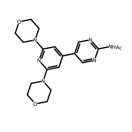 CC(=O)Nc1ncc(-c2cc(N3CCOCC3)nc(N3CCOCC3)c2)cn1